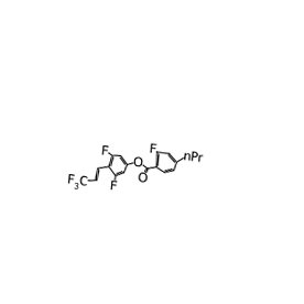 CCCc1ccc(C(=O)Oc2cc(F)c(/C=C/C(F)(F)F)c(F)c2)c(F)c1